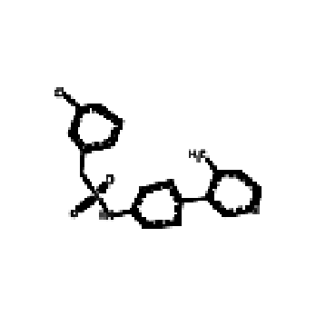 Cc1ccncc1-c1ccc(NS(=O)(=O)Cc2cccc(Cl)c2)cc1